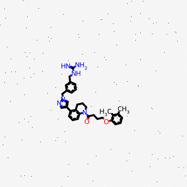 Cc1cccc(OCCCC(=O)N2CCCc3c(-c4cnn(Cc5cccc(CNC(=N)N)c5)c4)cccc32)c1C